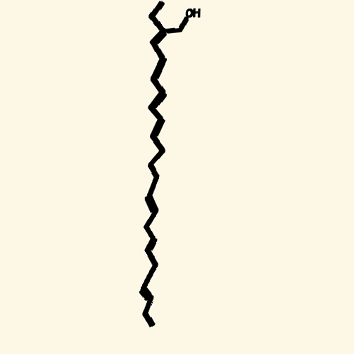 CCC=CCC=CCC=CCCCC=CC=CC=CC=C(CC)CO